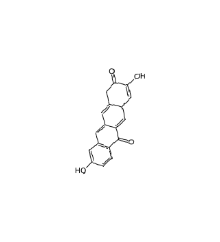 O=C1CC2=CC3=Cc4cc(O)ccc4C(=O)C3=CC2C=C1O